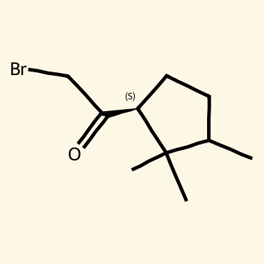 CC1CC[C@H](C(=O)CBr)C1(C)C